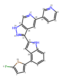 Fc1ccc(-c2cccc3[nH]c(-c4n[nH]c5cnc(-c6cccnc6)cc45)cc23)s1